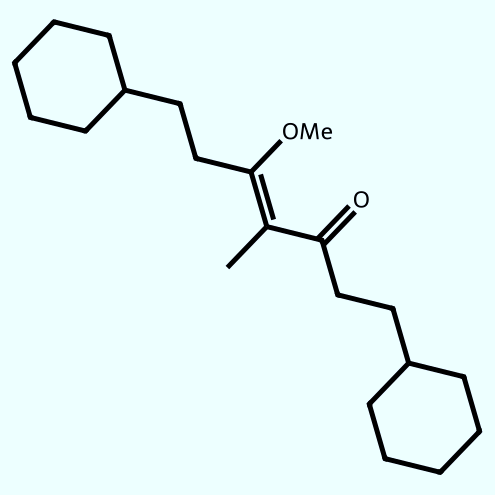 CO/C(CCC1CCCCC1)=C(/C)C(=O)CCC1CCCCC1